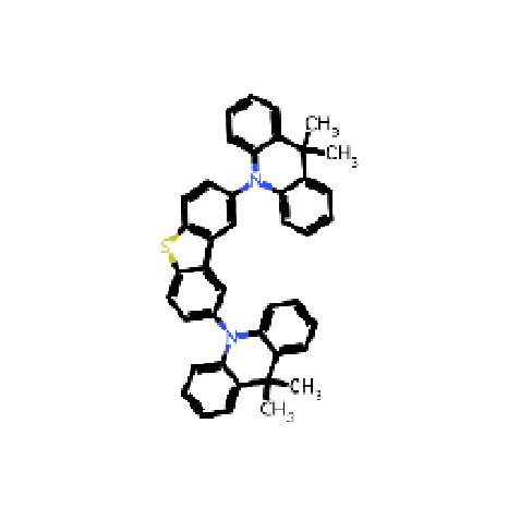 CC1(C)c2ccccc2N(c2ccc3sc4ccc(N5c6ccccc6C(C)(C)c6ccccc65)cc4c3c2)c2ccccc21